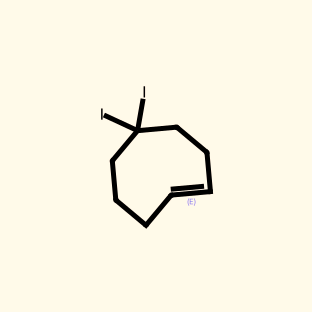 IC1(I)CC/C=C/CCC1